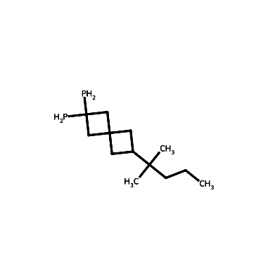 CCCC(C)(C)C1CC2(C1)CC(P)(P)C2